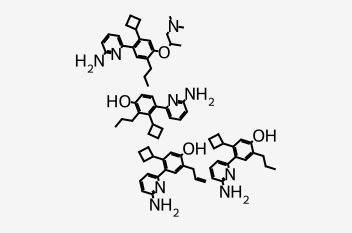 C=CCc1cc(-c2cccc(N)n2)c(C2CCC2)cc1O.CCCc1c(O)ccc(-c2cccc(N)n2)c1C1CCC1.CCCc1cc(-c2cccc(N)n2)c(C2CCC2)cc1O.CCCc1cc(-c2cccc(N)n2)c(C2CCC2)cc1OC(C)CN(C)C